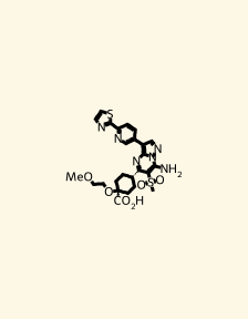 COCCO[C@]1(C(=O)O)CC[C@H](c2nc3c(-c4ccc(-c5nccs5)nc4)cnn3c(N)c2S(C)(=O)=O)CC1